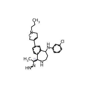 CCCN1CC=C(c2ccc3c(c2)C(Nc2cccc(Cl)c2)CCN/C3=C(/C)N=N)CC1